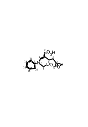 O=C(O)CN(C=C(CCC1CO1)C(=O)O)c1ccccc1